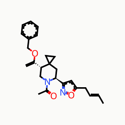 C=C(OCc1ccccc1)[C@H]1CN(C(C)=O)[C@H](c2cc(C/C=C/C)on2)CC12CC2